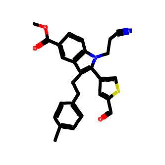 COC(=O)c1ccc2c(c1)c(CCc1ccc(C)cc1)c(-c1csc(C=O)c1)n2CCC#N